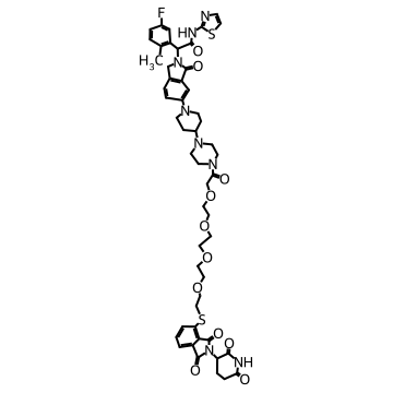 Cc1ccc(F)cc1C(C(=O)Nc1nccs1)N1Cc2ccc(N3CCC(N4CCN(C(=O)COCCOCCOCCOCCSc5cccc6c5C(=O)N(C5CCC(=O)NC5=O)C6=O)CC4)CC3)cc2C1=O